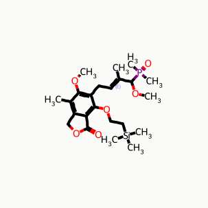 COc1c(C)c2c(c(OCC[Si](C)(C)C)c1C/C=C(\C)C(OC)P(C)(C)=O)C(=O)OC2